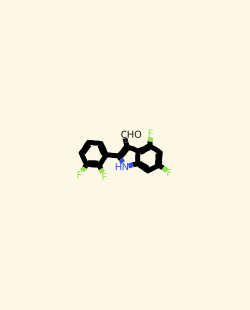 O=Cc1c(-c2cccc(F)c2F)[nH]c2cc(F)cc(F)c12